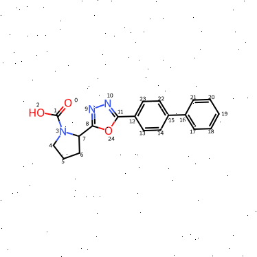 O=C(O)N1CCCC1c1nnc(-c2ccc(-c3ccccc3)cc2)o1